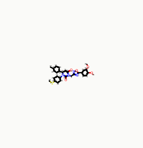 COc1ccc(-c2nc(Cn3c(=O)cc(-c4ccc(C)cc4)n(-c4ccc(SC)cc4)c3=O)no2)cc1OC